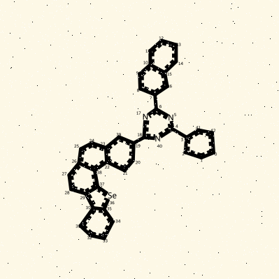 c1ccc(-c2nc(-c3ccc4ccccc4c3)nc(-c3ccc4c(ccc5ccc6c7ccccc7[se]c6c54)c3)n2)cc1